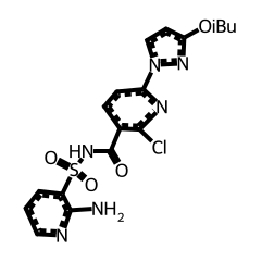 CC(C)COc1ccn(-c2ccc(C(=O)NS(=O)(=O)c3cccnc3N)c(Cl)n2)n1